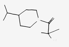 CC(C)C1CCN(C(=O)C(C)(C)O)CC1